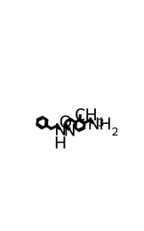 Cc1c(CN)ccc2c1COC(NCCc1ccccc1)=N2